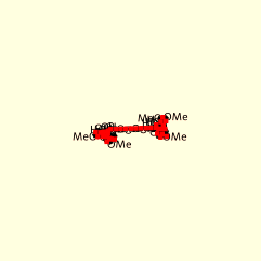 COc1ccc([C@@]23Oc4cc(OC)cc(OC)c4[C@]2(O)[C@H](O)[C@H](C(=O)NCCOCCOCCOCCOCCNC(=O)[C@H]2[C@@H](O)[C@@]4(O)c5c(OC)cc(OC)cc5O[C@@]4(c4ccc(OC)cc4)[C@@H]2c2ccccc2)[C@H]3c2ccccc2)cc1